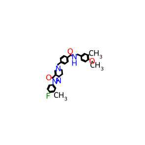 COc1ccc(CNC(=O)c2ccc(CN3C=C4C(=O)N(c5ccc(F)c(C)c5)N=C4CC3)cc2)cc1C